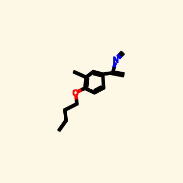 C=NC(=C)c1ccc(OCCCC)c(C)c1